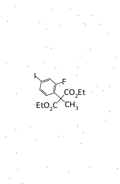 CCOC(=O)C(C)(C(=O)OCC)c1ccc(I)cc1F